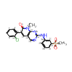 Cn1c(=O)c(-c2ccccc2Cl)cc2cnc(Nc3cccc(S(C)(=O)=O)c3)nc21